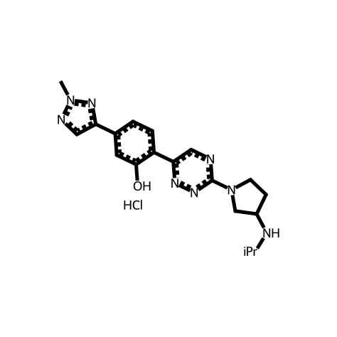 CC(C)NC1CCN(c2ncc(-c3ccc(-c4cnn(C)n4)cc3O)nn2)C1.Cl